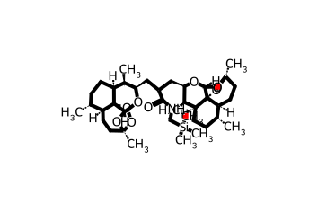 C[C@H]1[C@@H](CC(C[C@H]2O[C@@H]3O[C@]4(C)CC[C@H]5[C@H](C)CC[C@@H]([C@H]2C)[C@@]35OO4)C(=O)NC[Si](C)(C)C)O[C@@H]2O[C@]3(C)CC[C@H]4[C@H](C)CC[C@@H]1[C@@]24OO3